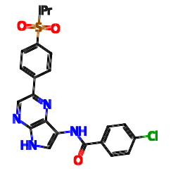 CC(C)S(=O)(=O)c1ccc(-c2cnc3[nH]cc(NC(=O)c4ccc(Cl)cc4)c3n2)cc1